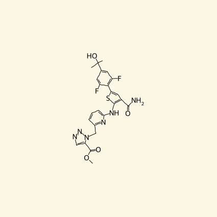 COC(=O)c1cnnn1Cc1cccc(Nc2sc(-c3c(F)cc(C(C)(C)O)cc3F)cc2C(N)=O)n1